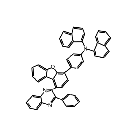 c1ccc(-c2nc3ccccc3nc2-c2ccc(-c3ccc(N(c4cccc5ccccc45)c4cccc5ccccc45)cc3)c3oc4ccccc4c23)cc1